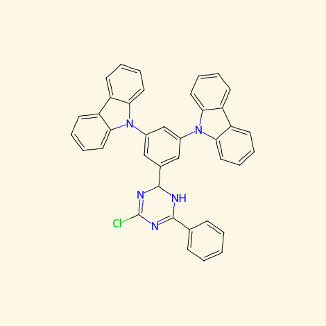 ClC1=NC(c2cc(-n3c4ccccc4c4ccccc43)cc(-n3c4ccccc4c4ccccc43)c2)NC(c2ccccc2)=N1